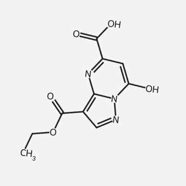 CCOC(=O)c1cnn2c(O)cc(C(=O)O)nc12